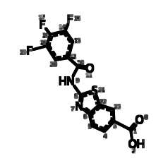 O=C(O)c1ccc2nc(NC(=O)c3cc(F)c(F)c(F)c3)sc2c1